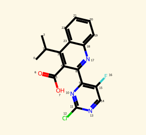 CC(C)c1c(C(=O)O)c(-c2nc(Cl)ncc2F)nc2ccccc12